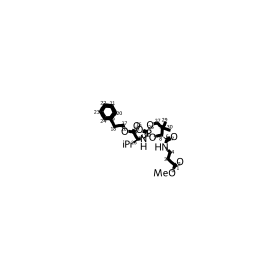 COC(=O)CCNC(=O)[C@@H]1O[P@](=O)(N[C@H](C(=O)OCCc2ccccc2)C(C)C)OCC1(C)C